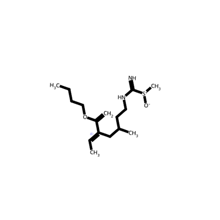 C=C(OCCCC)/C(=C/C)CC(C)CCNC(=N)[S+](C)[O-]